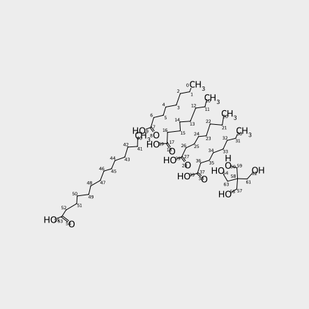 CCCCCCCC(=O)O.CCCCCCCC(=O)O.CCCCCCCC(=O)O.CCCCCCCC(=O)O.CCCCCCCCCCCCCC(=O)O.OCC(CO)(CO)CO